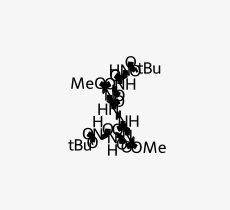 COC(=O)CN(CC(=O)NCCNC(=O)CN(CC(=O)OC)C(=O)CNC(=O)CNC(=O)OC(C)(C)C)C(=O)CNC(=O)CNC(=O)OC(C)(C)C